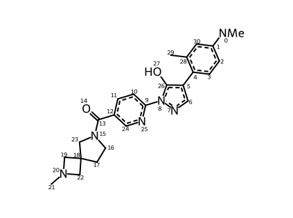 CNc1ccc(-c2cnn(-c3ccc(C(=O)N4CCC5(CN(C)C5)C4)cn3)c2O)c(C)c1